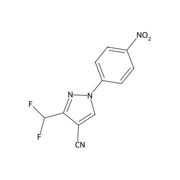 N#Cc1cn(-c2ccc([N+](=O)[O-])cc2)nc1C(F)F